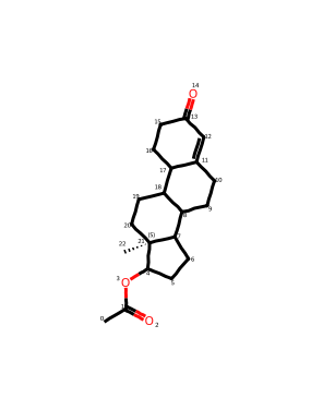 CC(=O)OC1CCC2C3CCC4=CC(=O)CCC4C3CC[C@]12C